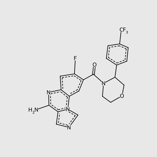 Nc1nc2cc(F)c(C(=O)N3CCOCC3c3ccc(C(F)(F)F)cc3)cc2n2cncc12